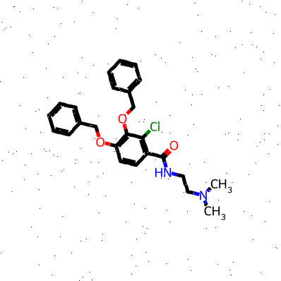 CN(C)CCNC(=O)c1ccc(OCc2ccccc2)c(OCc2ccccc2)c1Cl